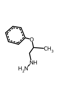 CC(CNN)Oc1ccccc1